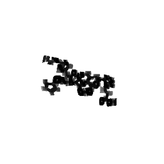 Nc1nc(C(=NOC2C=CCC2)C(=O)NC2C(=O)N3C(C(=O)O)=C(CSc4nnnn4CCC(=O)O)CS[C@@H]23)cs1